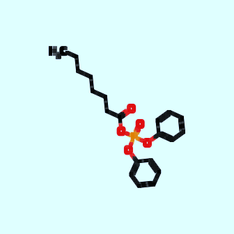 CCCCCCCC(=O)OP(=O)(Oc1ccccc1)Oc1ccccc1